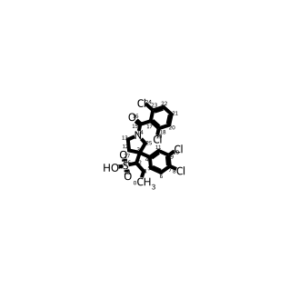 CCC(C1(c2ccc(Cl)c(Cl)c2)CCN(C(=O)c2c(Cl)cccc2Cl)C1)S(=O)(=O)O